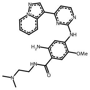 COc1cc(C(=O)NCCN(C)C)c(N)cc1Nc1nccc(-c2cnn3ccccc23)n1